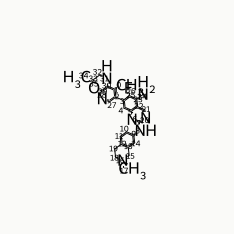 Cc1c(-c2cc3nc(Nc4ccc5c(c4)CN(C)CC5)ncc3c(N)c2F)cnc2c1NC[C@@H](C)O2